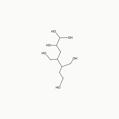 OCCC(CO)C(CO)CC(O)C(O)O